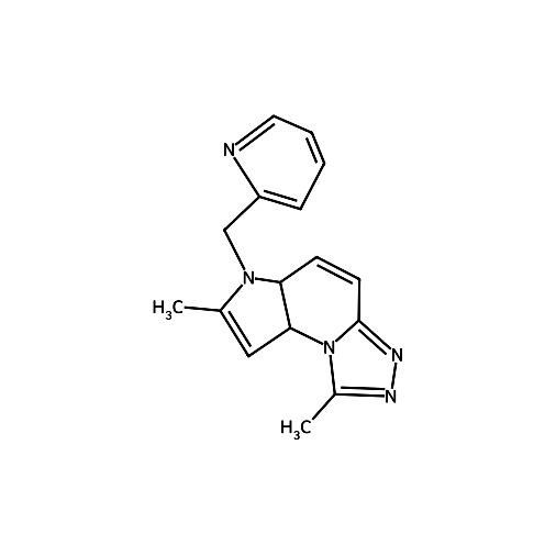 CC1=CC2C(C=Cc3nnc(C)n32)N1Cc1ccccn1